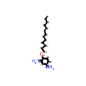 CCCCCCCCCCCCCOc1ccc(N)cc1N